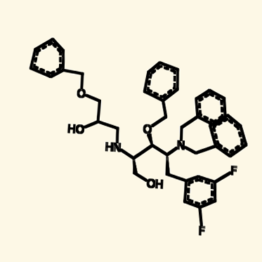 OC[C@@H](NCC(O)COCc1ccccc1)[C@@H](OCc1ccccc1)[C@H](Cc1cc(F)cc(F)c1)N(Cc1ccccc1)Cc1ccccc1